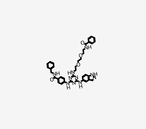 O=C(NCCOCCOCCNc1nc(Nc2ccc(C(=O)NCc3ccccc3)cc2)nc(Nc2ccc3[nH]ncc3c2)n1)c1ccccc1